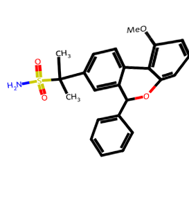 COc1cccc2c1-c1ccc(C(C)(C)S(N)(=O)=O)cc1C(c1ccccc1)O2